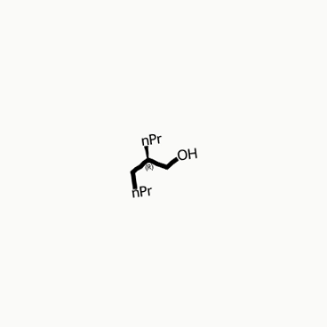 CCCC[C@H](CO)CCC